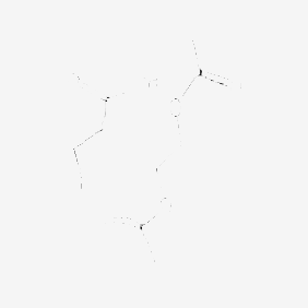 CC(=O)OCCOC(C)=O.CCCC(=O)O